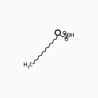 CCCCCCCCCCCCCCc1ccccc1CS(=O)(=O)O